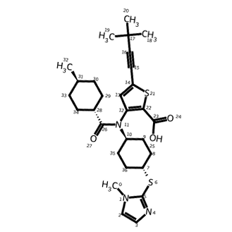 Cn1ccnc1S[C@H]1CC[C@H](N(c2cc(C#CC(C)(C)C)sc2C(=O)O)C(=O)[C@H]2CC[C@H](C)CC2)CC1